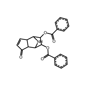 O=C(OC1C2NC(C1OC(=O)c1ccccc1)C1C(=O)C=CC21)c1ccccc1